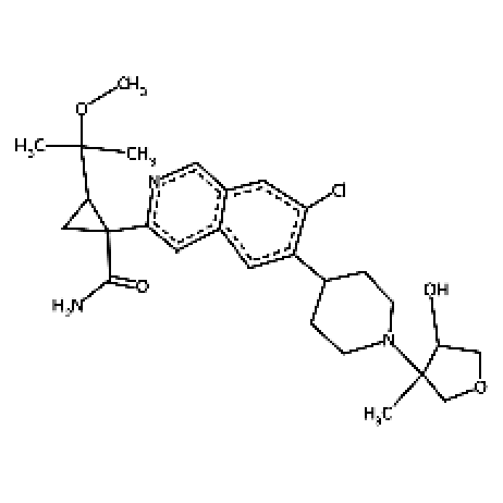 COC(C)(C)C1CC1(C(N)=O)c1cc2cc(C3CCN(C4(C)COCC4O)CC3)c(Cl)cc2cn1